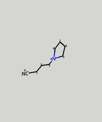 N#CCCCN1CCCC1